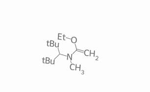 C=C(OCC)N(C)C(C(C)(C)C)C(C)(C)C